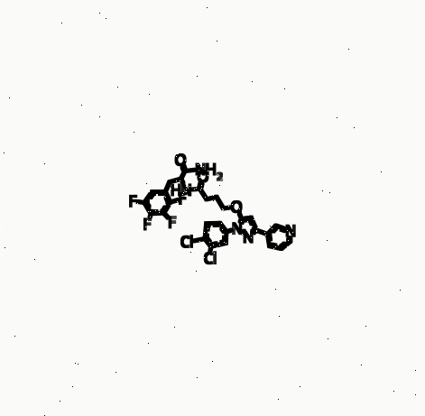 NC(=O)C(Cc1cc(F)c(F)c(F)c1F)NC(=O)CCCOc1cc(-c2cccnc2)nn1-c1ccc(Cl)c(Cl)c1